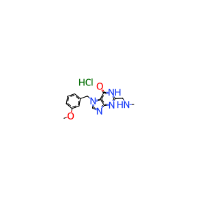 CNCc1nc2ncn(Cc3cccc(OC)c3)c2c(=O)[nH]1.Cl